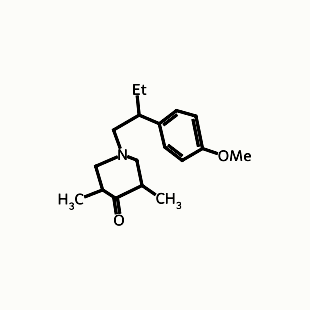 CCC(CN1CC(C)C(=O)C(C)C1)c1ccc(OC)cc1